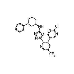 FC(F)(F)c1cnc(-c2nnc(NC3CCC=C(c4ccccc4)C3)o2)c(-c2cnc(Cl)nc2)c1